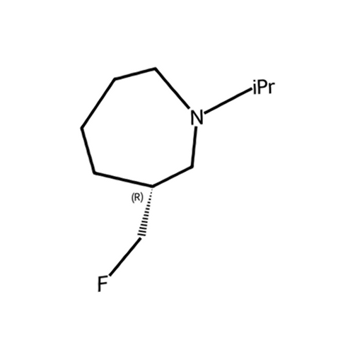 CC(C)N1CCCC[C@@H](CF)C1